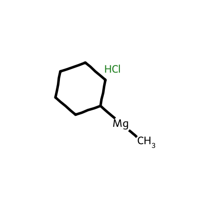 Cl.[CH3][Mg][CH]1CCCCC1